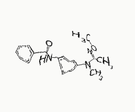 CON=C(C)N(C)c1ccc(NC(=O)c2ccccc2)cc1